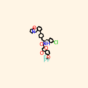 O=C(N[C@@H](C=C1CCC(c2ccccc2CN2CCCC2=O)CC1)Cc1ccc(Cl)cc1)c1cc(=O)c2cc(OC(F)(F)F)ccc2o1